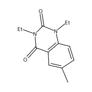 CCn1c(=O)c2cc(C)ccc2n(CC)c1=O